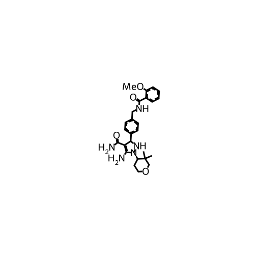 COc1ccccc1C(=O)NCc1ccc(C2NN(C3CCOCC3(C)C)C(N)=C2C(N)=O)cc1